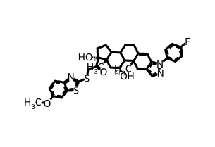 COc1ccc2nc(SCC(=O)[C@@]3(O)CCC4C5CCC6=Cc7c(cnn7-c7ccc(F)cc7)CC6(C)C5[C@@H](O)CC43C)sc2c1